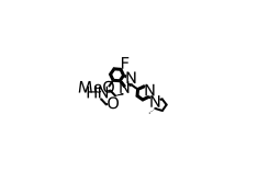 COc1ccc(F)c2nc(-c3ccc(N4CCC[C@@H]4C)nc3)n(C[C@@H]3CNCCO3)c12